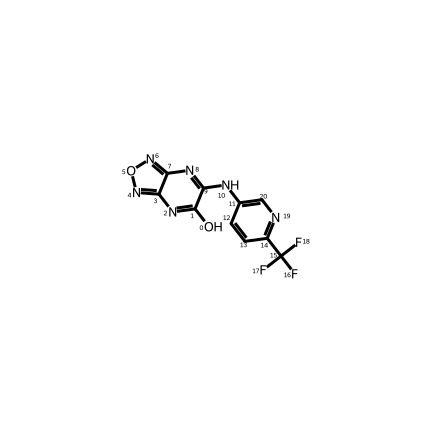 Oc1nc2nonc2nc1Nc1ccc(C(F)(F)F)nc1